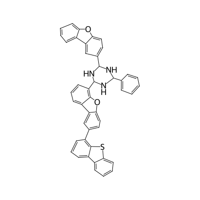 c1ccc(C2NC(c3ccc4oc5ccccc5c4c3)NC(c3cccc4c3oc3ccc(-c5cccc6c5sc5ccccc56)cc34)N2)cc1